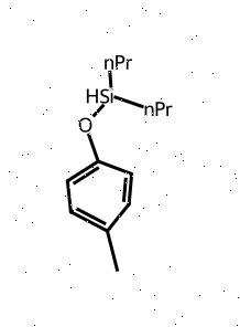 CCC[SiH](CCC)Oc1ccc(C)cc1